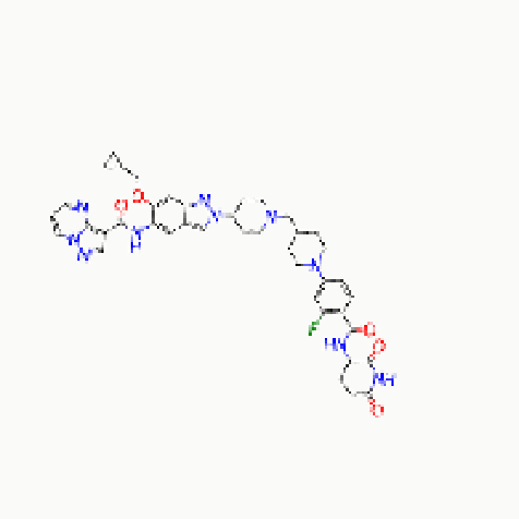 O=C1CCC(NC(=O)c2ccc(N3CCC(CN4CCC(n5cc6cc(NC(=O)c7cnn8cccnc78)c(OCC7CC7)cc6n5)CC4)CC3)cc2F)C(=O)N1